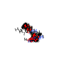 Cc1c(-c2cccnc2C(=O)O)c(N2CCc3cccc(C(=O)Nc4nc5ccccc5s4)c3C2)nn1CC12CC3(C)CC(C)(C1)CC(SCCNCCS(=O)(=O)OCC(C)(C)CCO[Si](c1ccccc1)(c1ccccc1)C(C)(C)C)(C3)C2